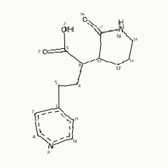 O=C(O)C(CCc1ccncc1)C1CCCNC1=O